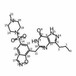 CCCc1n[nH]c2c(=O)[nH]c(Cc3cc(S(=O)(=O)N4CCN(C)CC4)cc4cnoc34)nc12